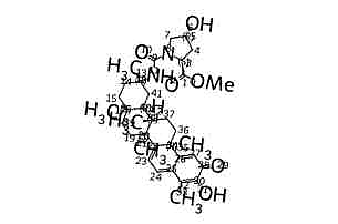 COC(=O)[C@@H]1C[C@@H](O)CN1C(=O)N[C@]1(C)CC[C@]2(C)CC[C@]3(C)C4=CC=C5C(=CC(=O)C(O)=C5C)[C@]4(C)CC[C@@]3(C)[C@@H]2C1